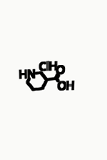 Cl.O=C(O)C1CCCNC1